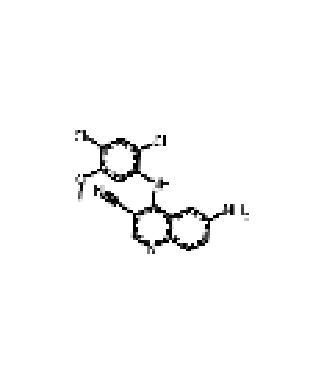 COc1cc(Nc2c(C#N)cnc3ccc(N)cc23)c(Cl)cc1Cl